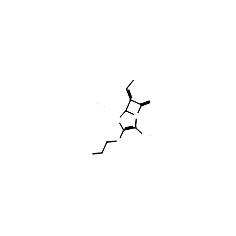 CC=C1C(=O)N2C(C(=O)[O-])=C(SCCC(=O)[O-])SC12.[Na+].[Na+]